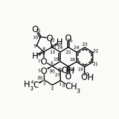 CC1C[C@@H](C)O[C@]2(O[C@@H]3CC(=O)O[C@@H]3C3=C2C(=O)c2c(O)cccc2C3=O)[C@@H]1O